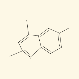 Cc1[c]c2ccc(C)cc2c(C)c1